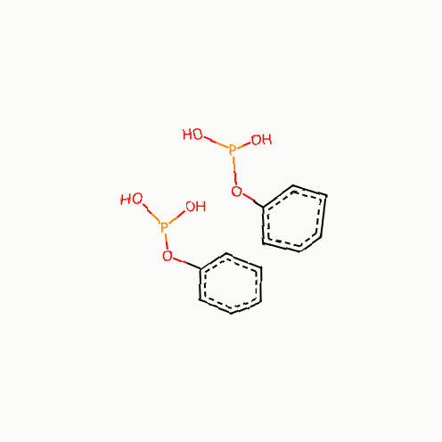 OP(O)Oc1ccccc1.OP(O)Oc1ccccc1